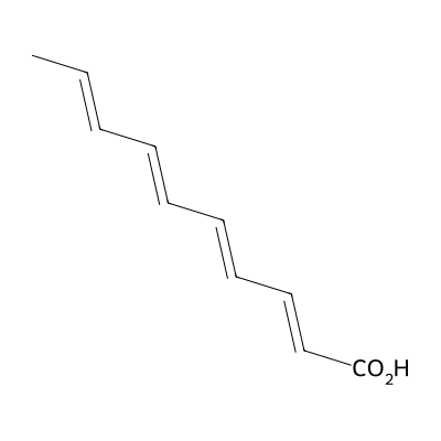 CC=CC=CC=CC=CC(=O)O